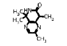 Cc1cnc2c(n1)C(C)C(=O)NC2(C)C